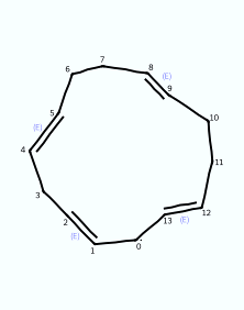 [CH]1/C=C/C/C=C/CC/C=C/CC/C=C/1